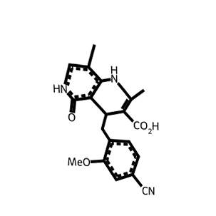 COc1cc(C#N)ccc1CC1C(C(=O)O)=C(C)Nc2c(C)c[nH]c(=O)c21